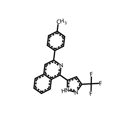 Cc1ccc(-c2cc3ccccc3c(-c3cc(C(F)(F)F)n[nH]3)n2)cc1